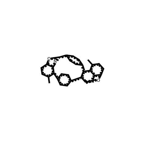 Cc1ccc2oc3nc2c1c1ccc(cc1)c1c2nc4c(ccc(C)c4c1c1ccc3cc1)o2